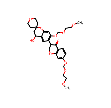 COCCOCOc1ccc2c(c1)OCC(c1cc3c(cc1OCOCCOC)OC1(CCOCC1)CC3O)C2=O